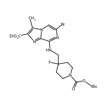 CCOC(=O)c1nc2c(NCC3(F)CCN(C(=O)OC(C)(C)C)CC3)nc(Br)cn2c1C